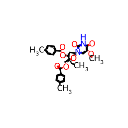 CC[C@]1(COC(=O)c2ccc(C)cc2)O[C@@H](n2cc(OC)c(=O)[nH]c2=O)C[C@@H]1OC(=O)c1ccc(C)cc1